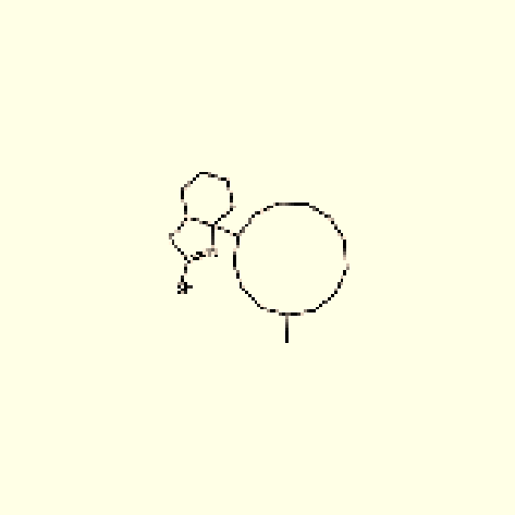 CC1CCCCCCCCC(C23CCCCC2SC(S)=N3)CCC1